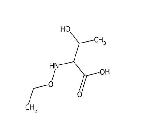 CCONC(C(=O)O)C(C)O